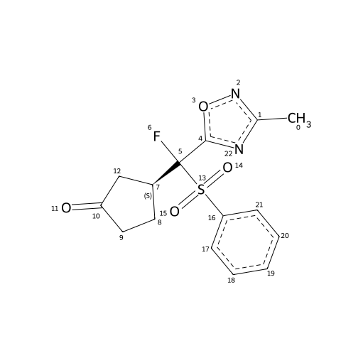 Cc1noc(C(F)([C@H]2CCC(=O)C2)S(=O)(=O)c2ccccc2)n1